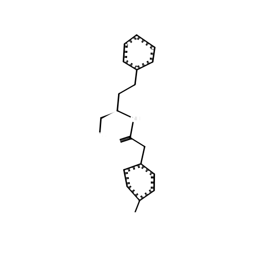 O=C(O)C[C@@H](CCc1ccccc1)NC(=O)Cc1ccc(Cl)cc1